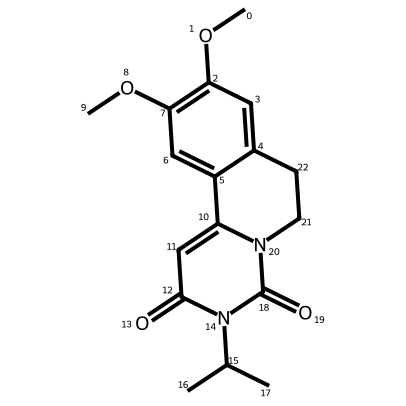 COc1cc2c(cc1OC)-c1cc(=O)n(C(C)C)c(=O)n1CC2